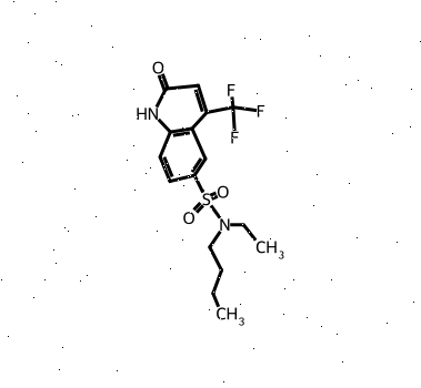 CCCCN(CC)S(=O)(=O)c1ccc2[nH]c(=O)cc(C(F)(F)F)c2c1